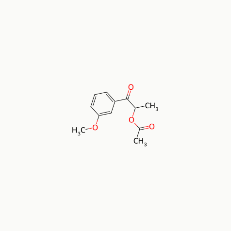 COc1cccc(C(=O)C(C)OC(C)=O)c1